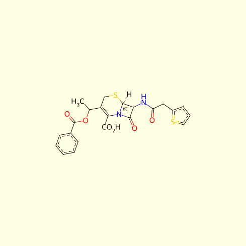 CC(OC(=O)c1ccccc1)C1=C(C(=O)O)N2C(=O)C(NC(=O)Cc3cccs3)[C@@H]2SC1